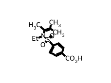 CCN(C(C)=C(C)C)S(=O)(=O)c1ccc(C(=O)O)cc1